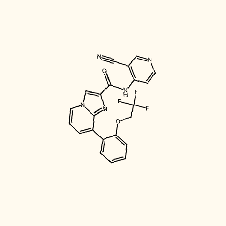 N#Cc1cnccc1NC(=O)c1cn2cccc(-c3ccccc3OCC(F)(F)F)c2n1